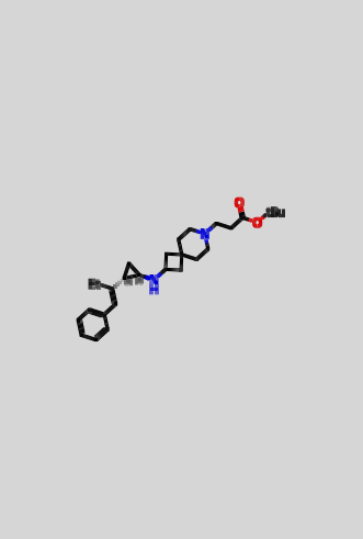 CCC(=Cc1ccccc1)[C@@H]1C[C@H]1NC1CC2(CCN(CCC(=O)OC(C)(C)C)CC2)C1